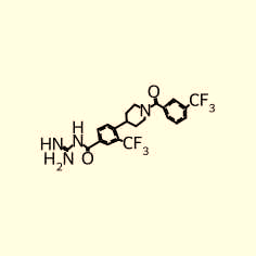 N=C(N)NC(=O)c1ccc(C2CCN(C(=O)c3cccc(C(F)(F)F)c3)CC2)c(C(F)(F)F)c1